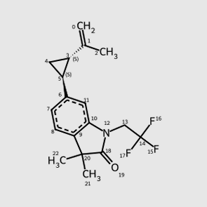 C=C(C)[C@H]1C[C@@H]1c1ccc2c(c1)N(CC(F)(F)F)C(=O)C2(C)C